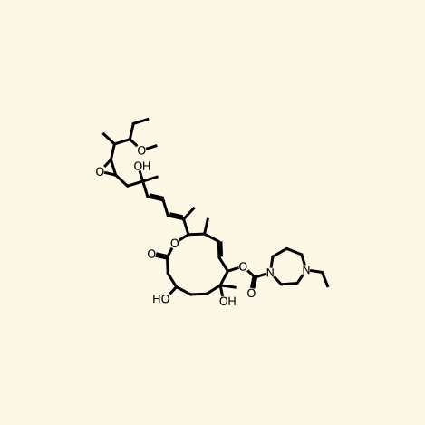 CCC(OC)C(C)C1OC1CC(C)(O)/C=C/C=C(\C)C1OC(=O)CC(O)CCC(C)(O)C(OC(=O)N2CCCN(CC)CC2)/C=C/C1C